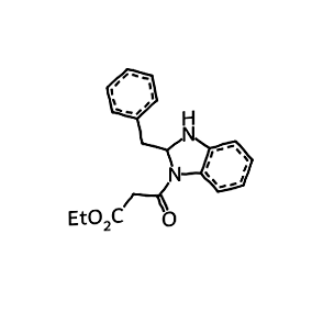 CCOC(=O)CC(=O)N1c2ccccc2NC1Cc1ccccc1